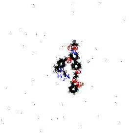 COc1ccccc1COCCCOc1ccc(C2CCN(C(=O)OC(C)(C)C)CC2OCc2ccc3c(c2)N(CCN)CC3(C)C)cc1